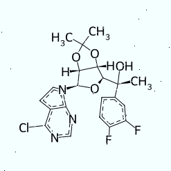 CC1(C)O[C@@H]2[C@H](O1)[C@@H]([C@](C)(O)c1ccc(F)c(F)c1)O[C@H]2n1ccc2c(Cl)ncnc21